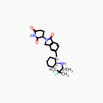 C[C@@H](N[C@H]1CCCC[C@@H]1Cc1ccc2c(c1)CN(C1CCC(=O)NC1=O)C2=O)C(C)(C)F